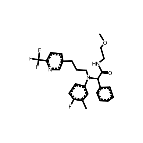 COCCNC(=O)[C@@H](c1ccccc1)N(CCCc1ccc(C(F)(F)F)nc1)c1ccc(F)c(C)c1